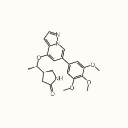 COc1cc(-c2cc(O[C@H](C)[C@H]3CNC(=O)C3)c3ccnn3c2)cc(OC)c1OC